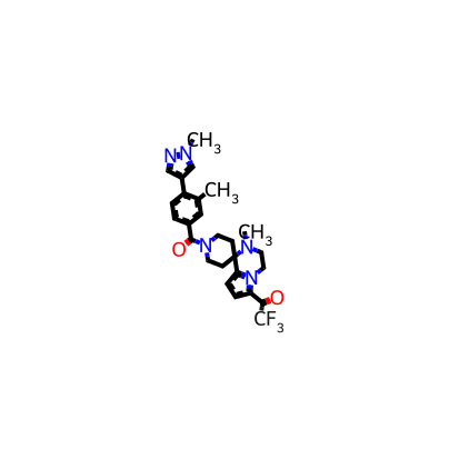 Cc1cc(C(=O)N2CCC3(CC2)c2ccc(C(=O)C(F)(F)F)n2CCN3C)ccc1-c1cnn(C)c1